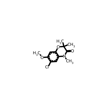 COc1cc2c(cc1Cl)N(C)C(=O)C(C)(C)O2